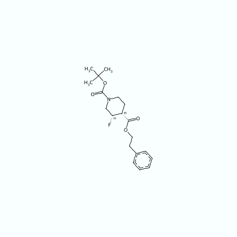 CC(C)(C)OC(=O)N1CC[C@H](C(=O)OCCc2ccccc2)[C@H](F)C1